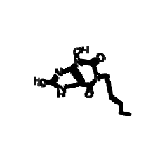 CCCCCn1c(=O)c2[nH]c(O)nc2n(O)c1=O